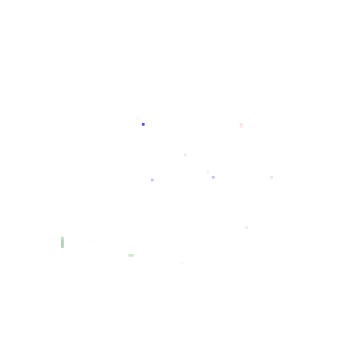 CC(=O)N(c1c(-c2ccco2)nc2ccc(C(F)(F)F)cn12)C1CCCCC1